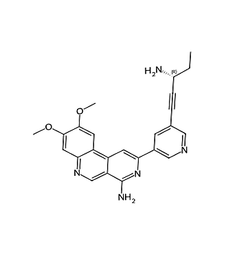 CC[C@@H](N)C#Cc1cncc(-c2cc3c(cnc4cc(OC)c(OC)cc43)c(N)n2)c1